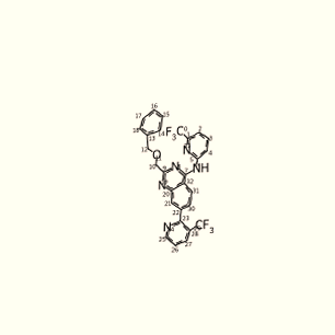 FC(F)(F)c1cccc(Nc2nc(COCc3ccccc3)nc3cc(-c4ncccc4C(F)(F)F)ccc23)n1